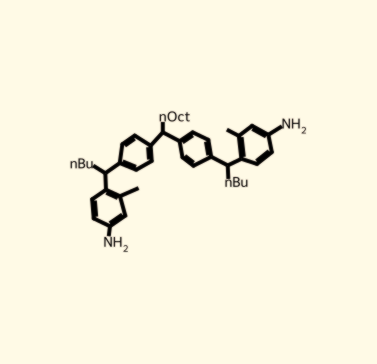 CCCCCCCCC(c1ccc(C(CCCC)c2ccc(N)cc2C)cc1)c1ccc(C(CCCC)c2ccc(N)cc2C)cc1